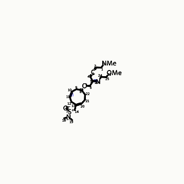 CNCC=C=C/C(CO[C@H]1C/C=C\CC(C[S+]([O-])N(C)C)=CCC1)=N\CCOC